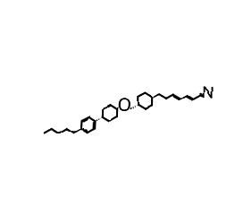 CCCCCc1ccc([C@H]2CC[C@H](OC[C@H]3CC[C@H](CC/C=C/C=C/C#N)CC3)CC2)cc1